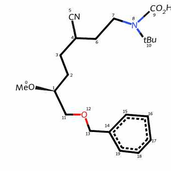 CO[C@@H](CCC(C#N)CCN(C(=O)O)C(C)(C)C)COCc1ccccc1